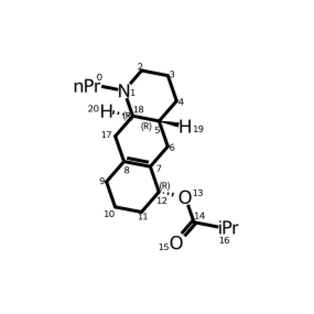 CCCN1CCC[C@@H]2CC3=C(CCC[C@H]3OC(=O)C(C)C)C[C@H]21